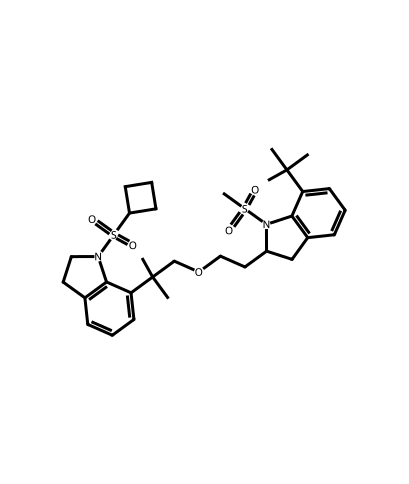 CC(C)(C)c1cccc2c1N(S(C)(=O)=O)C(CCOCC(C)(C)c1cccc3c1N(S(=O)(=O)C1CCC1)CC3)C2